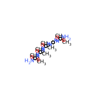 COc1cc(N=Nc2ccc(N=Nc3cc(OC)c(N=Nc4cc(OC)c(N=Nc5cc(OC)c(N)cc5OC)cc4C)cc3C)cc2)c(OC)cc1N